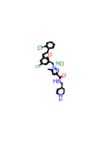 Cc1cc(C(=O)NCC2CCNCC2)nn1Cc1cc(Cl)cc2cc(-c3ccccc3Cl)oc12.Cl